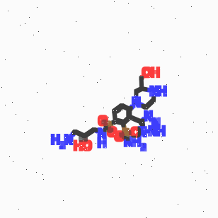 NC[C@@H](O)CNS(=O)(=O)c1ccc(N2CCNC(CO)C2)c(-c2nn[nH]n2)c1S(N)(=O)=O